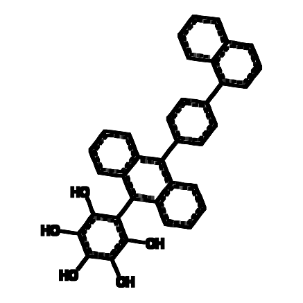 Oc1c(O)c(O)c(-c2c3ccccc3c(-c3ccc(-c4cccc5ccccc45)cc3)c3ccccc23)c(O)c1O